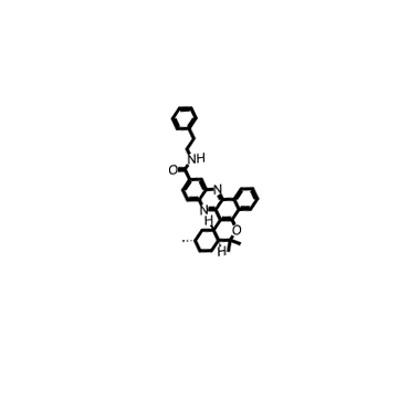 C[C@H]1CC[C@H]2[C@H](C1)c1c(c3ccccc3c3nc4cc(C(=O)NCCc5ccccc5)ccc4nc13)OC2(C)C